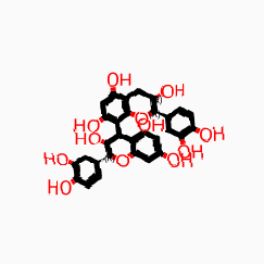 OC1=C(O)CC([C@H]2Oc3cc(O)cc(O)c3C(c3c(O)cc(O)c4c3O[C@H](C3C=CC(O)=C(O)C3)[C@H](O)C4)C2O)C=C1